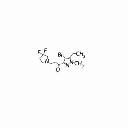 CCc1c(Br)c(C(=O)CCN2CCC(F)(F)C2)nn1C